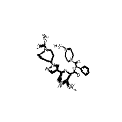 CN1CCN(C(=O)[C@H](OC(=O)c2nc(-c3cnn(C4CCN(C(=O)OC(C)(C)C)CC4)c3)cnc2N)c2ccccc2)CC1